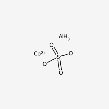 O=S(=O)([O-])[O-].[AlH3].[Co+2]